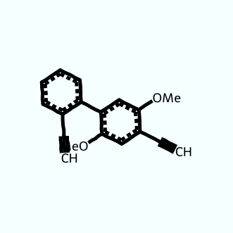 C#Cc1cc(OC)c(-c2ccccc2C#C)cc1OC